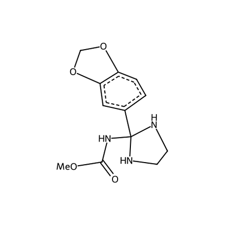 COC(=O)NC1(c2ccc3c(c2)OCO3)NCCN1